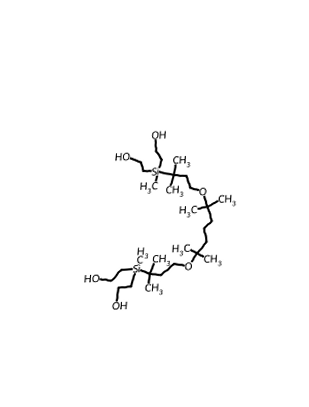 CC(C)(CCCC(C)(C)OCCC(C)(C)[Si](C)(CCO)CCO)OCCC(C)(C)[Si](C)(CCO)CCO